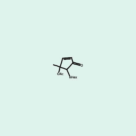 CCCCCCC1C(=O)C=CC1(C)OC(C)=O